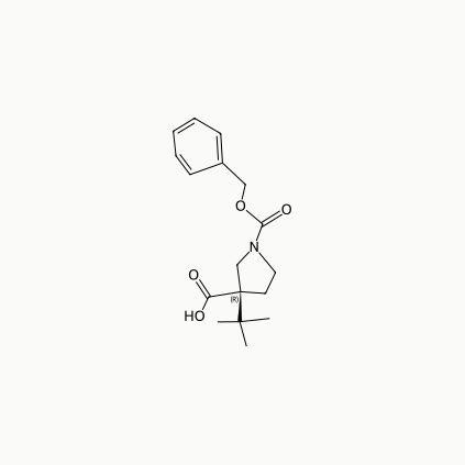 CC(C)(C)[C@]1(C(=O)O)CCN(C(=O)OCc2ccccc2)C1